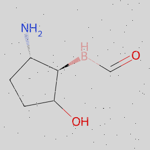 N[C@H]1CCC(O)[C@@H]1BC=O